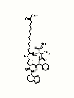 COC(=O)CCCCCCCCCCC(=O)N[C@H]1C[C@@H](C(=O)N[C@@H]2CCCc3ccccc32)N(C(=O)[C@@H](NC(=O)[C@H](C)N(C)C(=O)OC(C)(C)C)C2CCCCC2)C1